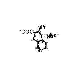 CC(C)C(C(=O)[O-])=C(Cc1cccnc1)C(=O)[O-].[Na+].[Na+]